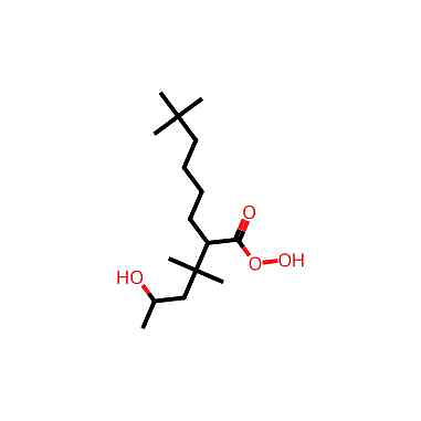 CC(O)CC(C)(C)C(CCCCC(C)(C)C)C(=O)OO